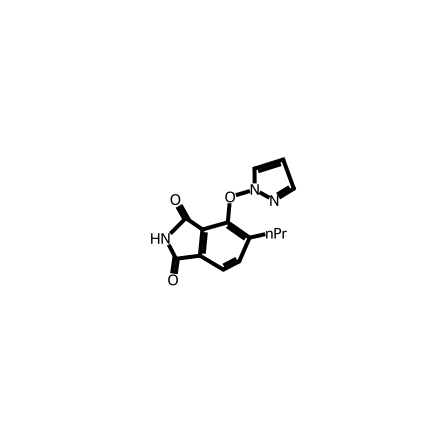 CCCc1ccc2c(c1On1cccn1)C(=O)NC2=O